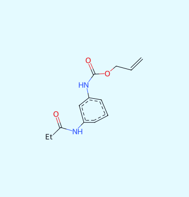 C=CCOC(=O)Nc1cccc(NC(=O)CC)c1